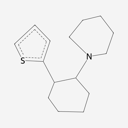 c1csc(C2CCCCC2N2CCCCC2)c1